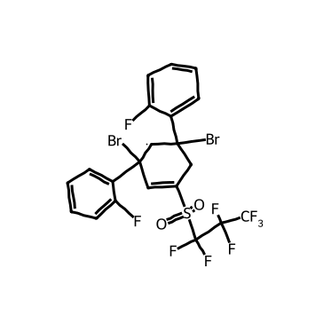 O=S(=O)(C1=CC(Br)(c2ccccc2F)[CH]C(Br)(c2ccccc2F)C1)C(F)(F)C(F)(F)C(F)(F)F